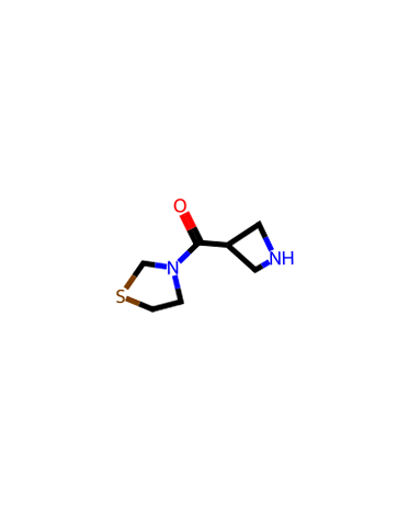 O=C(C1CNC1)N1CCSC1